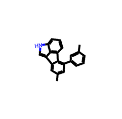 Cc1cccc(-c2cc(C)cc3c2-c2cccc4[nH]cc-3c24)c1